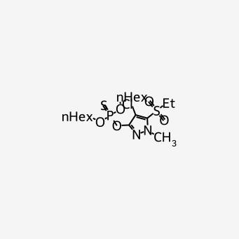 CCCCCCOP(=S)(OCCCCCC)Oc1nn(C)c(S(=O)(=O)CC)c1Cl